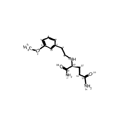 COc1cccc(CCN[C@@H](CCC(N)=O)C(N)=O)c1